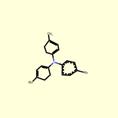 CCC(C)c1ccc(N(C2=CC=C(C)CC2)C2=CC=C(C(C)(C)C)CC2)cc1